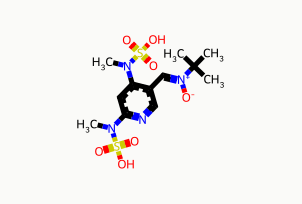 CN(c1cc(N(C)S(=O)(=O)O)c(C=[N+]([O-])C(C)(C)C)cn1)S(=O)(=O)O